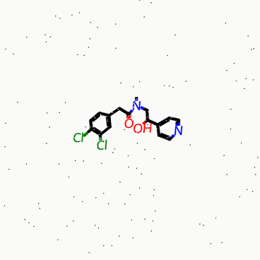 CN(CC(O)c1ccncc1)C(=O)Cc1ccc(Cl)c(Cl)c1